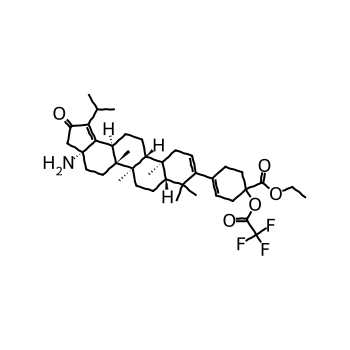 CCOC(=O)C1(OC(=O)C(F)(F)F)CC=C(C2=CC[C@]3(C)[C@H]4CC[C@@H]5C6=C(C(C)C)C(=O)C[C@]6(N)CC[C@@]5(C)[C@]4(C)CC[C@H]3C2(C)C)CC1